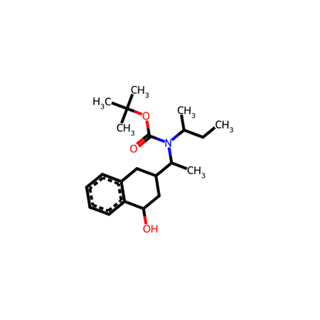 CCC(C)N(C(=O)OC(C)(C)C)C(C)C1Cc2ccccc2C(O)C1